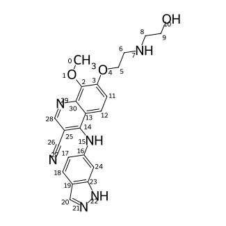 COc1c(OCCNCCO)ccc2c(Nc3ccc4cn[nH]c4c3)c(C#N)cnc12